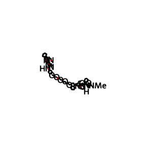 CN[C@@H](C)C(=O)N[C@H](C(=O)N1CCC[C@H]1c1nc(-c2ccc(OCCOCCOCCOCCO[C@H]3CC[C@H](Nc4nccc(-c5cnn(Cc6ccccc6)c5N(C)C)n4)CC3)c3ccccc23)cs1)C1CCCCC1